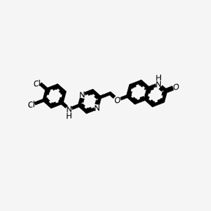 O=c1ccc2cc(OCc3cnc(Nc4ccc(Cl)c(Cl)c4)cn3)ccc2[nH]1